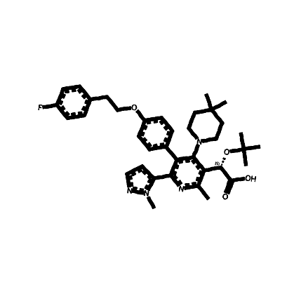 Cc1nc(-c2ccnn2C)c(-c2ccc(OCCc3ccc(F)cc3)cc2)c(N2CCC(C)(C)CC2)c1[C@H](OC(C)(C)C)C(=O)O